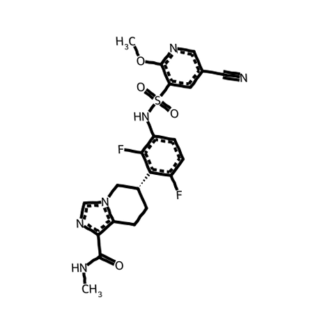 CNC(=O)c1ncn2c1CC[C@@H](c1c(F)ccc(NS(=O)(=O)c3cc(C#N)cnc3OC)c1F)C2